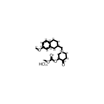 COC(=O)OC1CN(CC2CCc3ccc(OC)cc3C2)CCC1=O.Cl